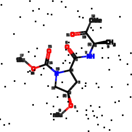 CCCCO[C@@H]1CC(C(=O)N[C@H](C)C(=O)OC)N(C(=O)OC(C)(C)C)C1